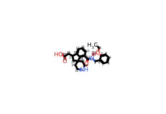 CCOc1ccccc1CN(Br)C(=O)c1cccc2c1C1(CCNCC1)CC2CC(=O)O